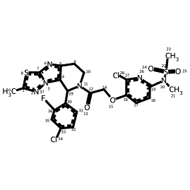 Cc1nn2c3c(nc2s1)CCN(C(=O)COc1ccc(N(C)S(C)(=O)=O)nc1Cl)C3c1ccc(Cl)cc1F